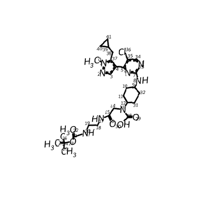 Cn1ncc(-c2nc(NC3CCC(N(CC(=O)NCCNC(=O)OC(C)(C)C)C(=O)O)CC3)ncc2Cl)c1CC1CC1